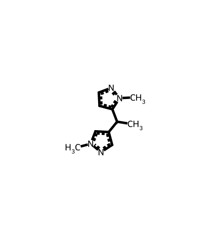 C[C](c1cnn(C)c1)c1ccnn1C